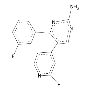 Nc1ncc(-c2ccnc(F)c2)c(-c2cccc(F)c2)n1